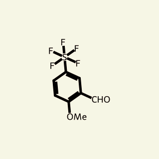 COc1ccc(S(F)(F)(F)(F)F)cc1C=O